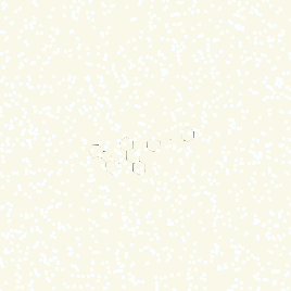 C=C(/C=C\c1ccccc1C)c1ccc(-c2c3ccccc3c(-c3cccc4c3sc3ccccc34)c3ccccc23)cc1